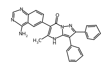 Cc1[nH]c2c(-c3ccccc3)c(-c3ccccc3)nn2c(=O)c1-c1ccc2ncnc(N)c2c1